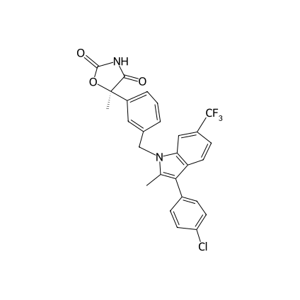 Cc1c(-c2ccc(Cl)cc2)c2ccc(C(F)(F)F)cc2n1Cc1cccc([C@@]2(C)OC(=O)NC2=O)c1